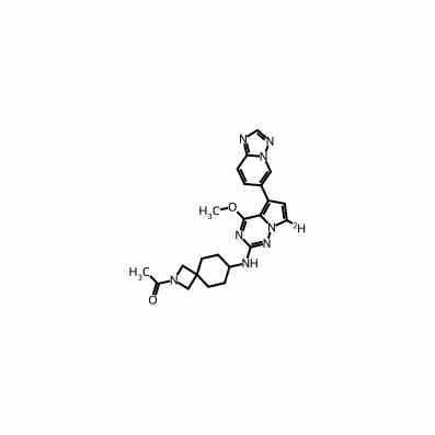 [2H]c1cc(-c2ccc3ncnn3c2)c2c(OC)nc(NC3CCC4(CC3)CN(C(C)=O)C4)nn12